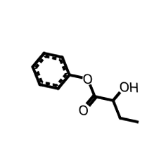 CCC(O)C(=O)Oc1ccccc1